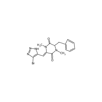 CN1C(=O)C(Cc2ccccc2)N(C)C(=O)C1=Cc1[nH]nnc1Br